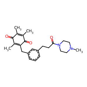 CC1=C(C)C(=O)C(Cc2cccc(CCC(=O)N3CCN(C)CC3)c2)=C(C)C1=O